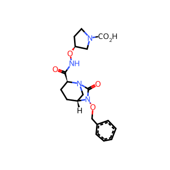 O=C(NO[C@H]1CCN(C(=O)O)C1)[C@@H]1CC[C@@H]2CN1C(=O)N2OCc1ccccc1